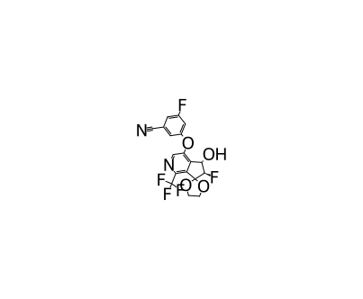 N#Cc1cc(F)cc(Oc2cnc(C(F)(F)F)c3c2[C@H](O)[C@@H](F)C32OCCO2)c1